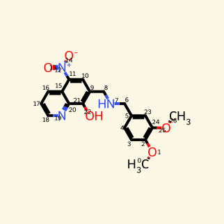 COc1ccc(CNCc2cc([N+](=O)[O-])c3cccnc3c2O)cc1OC